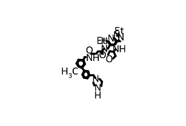 CCc1nc2c(cnn2CC)c(NC2CCOCC2)c1CNC(=O)CCC(=O)NCc1ccc(C)c(-c2cccc(CN3CCCNCC3)c2)c1